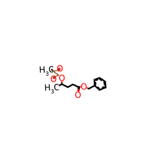 CC(CCC(=O)OCc1ccccc1)OS(C)(=O)=O